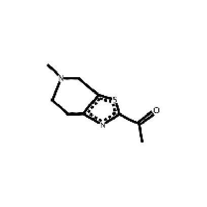 CC(=O)c1nc2c(s1)CN(C)CC2